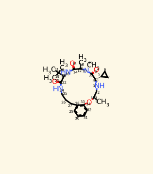 C[C@@H]1CN[C@@H](C2CC2)C(=O)N(C)[C@H](C)C(=O)N[C@H](C(C)(C)C)C(=O)NCCCc2ccccc2O1